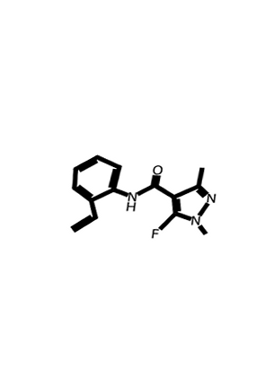 C=Cc1ccccc1NC(=O)c1c(C)nn(C)c1F